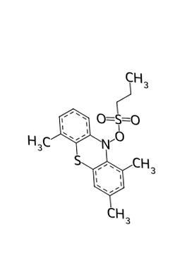 CCCS(=O)(=O)ON1c2cccc(C)c2Sc2cc(C)cc(C)c21